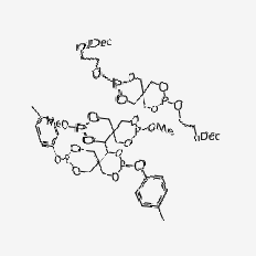 CCCCCCCCCCCCOP1OCC2(CO1)COP(OCCCCCCCCCCCC)OC2.COP1OCC2(CO1)COP(OC)OC2C1OP(Oc2ccc(C)cc2)OCC12COP(Oc1ccc(C)cc1)OC2